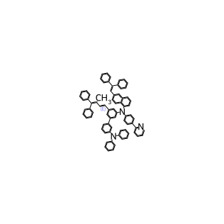 CC(/C=C/c1cc(-c2cccc(N(c3ccccc3)c3ccccc3)c2)cc(N(c2ccc(-c3ccccn3)cc2)c2cccc3cc(C=C(c4ccccc4)c4ccccc4)ccc23)c1)=C(c1ccccc1)c1ccccc1